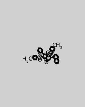 Cc1ccc(S(=O)(=O)N2C[C@H]3C(=O)CC(c4cccc5ccccc45)N(S(=O)(=O)c4ccc(C)cc4)[C@H]3CC2c2ccccc2)cc1